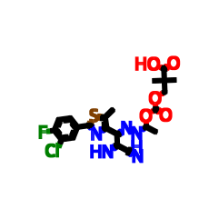 Cc1sc(-c2ccc(F)c(Cl)c2)nc1/C(=N/NC(C)OC(=O)OCC(C)(C)C(=O)O)C(=N)C#N